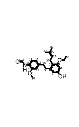 CCOc1cc(O)cc(CCc2ccc(NC=O)c(OC)c2)c1CC=C(C)C